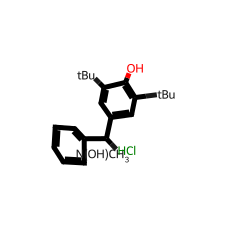 CN(O)C(c1ccccc1)c1cc(C(C)(C)C)c(O)c(C(C)(C)C)c1.Cl